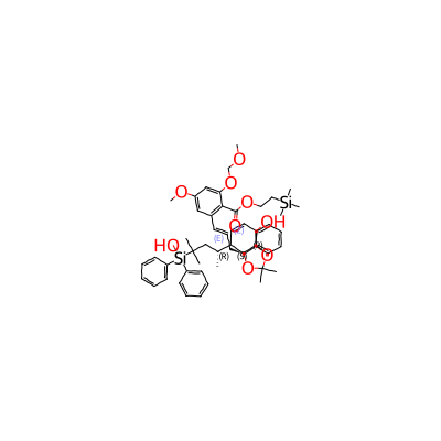 COCOc1cc(OC)cc(/C=C/C[C@@H]2OC(C)(C)O[C@@H]2C(O)/C=C\C(Cc2ccccc2)[C@H](C)CC(C)(C)[Si](O)(c2ccccc2)c2ccccc2)c1C(=O)OCC[Si](C)(C)C